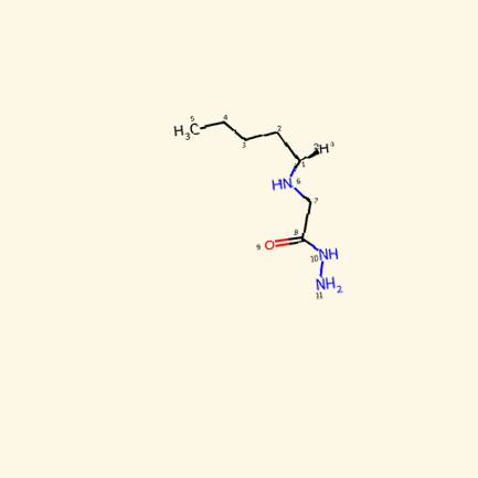 [2H][C@H](CCCC)NCC(=O)NN